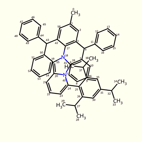 Cc1cc(C(c2ccccc2)c2ccccc2)c(N2C=C3C=CC=C(c4c(C(C)C)cc(C(C)C)cc4C(C)C)N3C2)c(C(c2ccccc2)c2ccccc2)c1